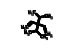 C=C[Si](C=C)(C(C)C)C(C)C